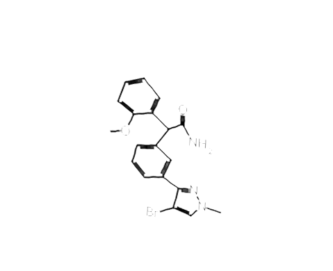 COc1ccccc1C(C(N)=O)c1cccc(-c2nn(C)cc2Br)c1